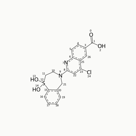 O=C(O)c1ccc2nc(N3CCS(O)(O)c4ccccc4C3)cc(Cl)c2c1